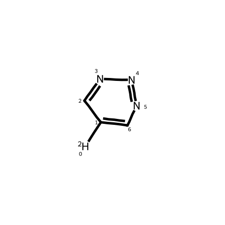 [2H]c1cnnnc1